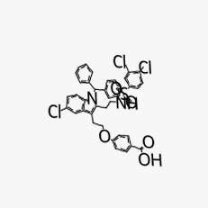 O=C(O)c1ccc(OCCc2c(CCNS(=O)(=O)c3ccc(Cl)c(Cl)c3)n(C(c3ccccc3)c3ccccc3)c3ccc(Cl)cc23)cc1